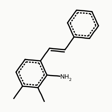 Cc1ccc(C=Cc2ccccc2)c(N)c1C